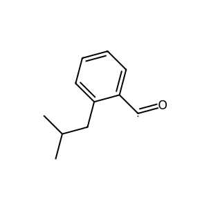 CC(C)Cc1ccccc1[C]=O